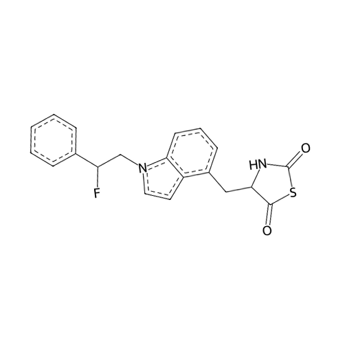 O=C1NC(Cc2cccc3c2ccn3CC(F)c2ccccc2)C(=O)S1